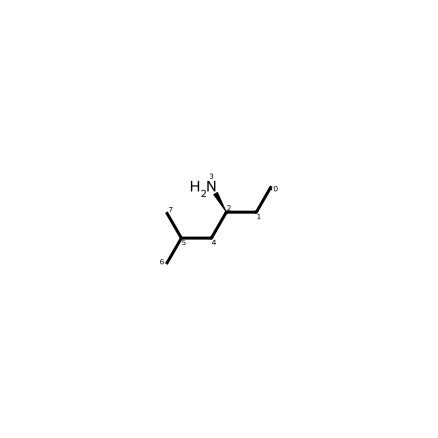 [CH2]C[C@H](N)CC(C)C